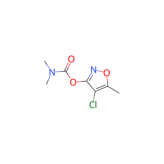 Cc1onc(OC(=O)N(C)C)c1Cl